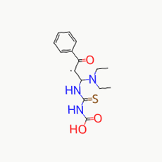 CCN(CC)C([CH]C(=O)c1ccccc1)NC(=S)NC(=O)O